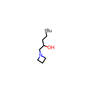 CC(C)(C)CCC(O)CN1CCC1